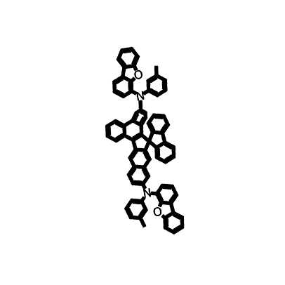 Cc1cccc(N(c2ccc3cc4c(cc3c2)C2(c3ccccc3-c3ccccc32)c2c-4c3ccccc3c3cc(N(c4cccc(C)c4)c4cccc5c4oc4ccccc45)ccc23)c2cccc3c2oc2ccccc23)c1